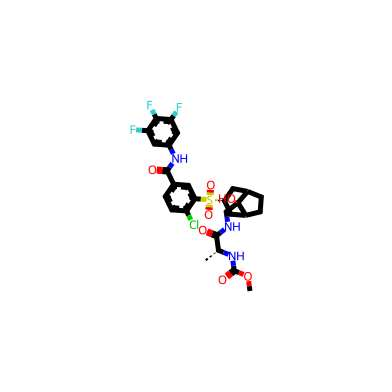 COC(=O)N[C@H](C)C(=O)NC[C@]1(O)C2CCC1C[C@@H](S(=O)(=O)c1cc(C(=O)Nc3cc(F)c(F)c(F)c3)ccc1Cl)C2